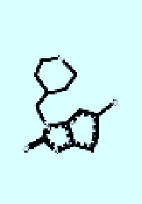 O=c1sc2ccc(Cl)cc2n1CC1CCNCC1